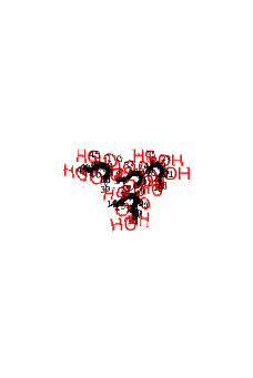 CO[C@@H]1C(OCC2O[C@@H](O[C@@H]3C(O)[C@H](C)OC(CO)[C@H]3O)C(O)[C@@H](O[C@@H]3OC(CO)[C@@H](O)[C@H](O)C3O)[C@@H]2O)[C@H](C)OC(CO)[C@H]1O